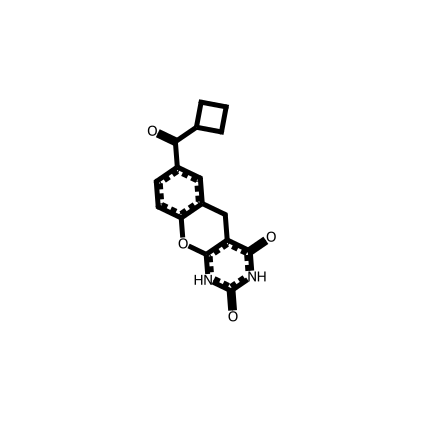 O=C(c1ccc2c(c1)Cc1c([nH]c(=O)[nH]c1=O)O2)C1CCC1